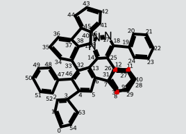 c1ccc(-c2cc(-c3ccccc3)c(-c3nnnc(-c4ccccc4)c3-c3ccccc3)c(-c3cccc4c3Cc3ccccc3-4)c2-c2ccccc2)cc1